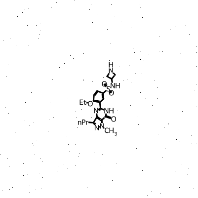 CCCc1nn(C)c2c(=O)[nH]c(-c3cc(S(=O)(=O)NC4CNC4)ccc3OCC)nc12